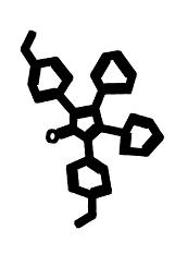 CCc1ccc(C2=C(c3ccccc3)C(c3ccccc3)=C(c3ccc(CC)cc3)C2=O)cc1